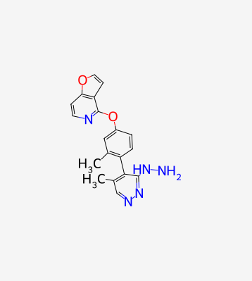 Cc1cc(Oc2nccc3occc23)ccc1-c1c(C)cnnc1NN